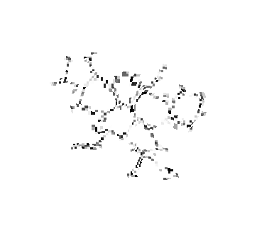 COC(=O)OC1=C(OS(=O)(=O)C(F)(F)F)c2ccccc2S(=O)(=O)N1c1ccc2c(c1)OCO2